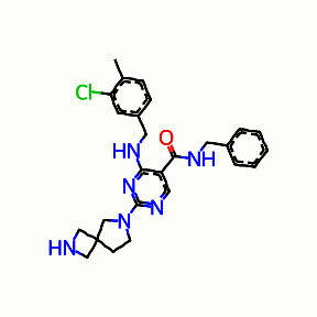 Cc1ccc(CNc2nc(N3CCC4(CNC4)C3)ncc2C(=O)NCc2ccccc2)cc1Cl